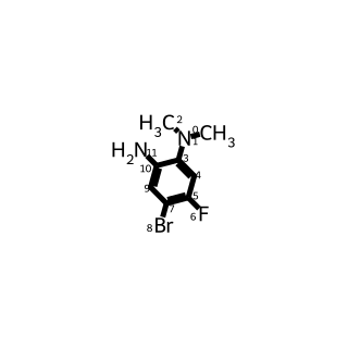 CN(C)c1cc(F)c(Br)cc1N